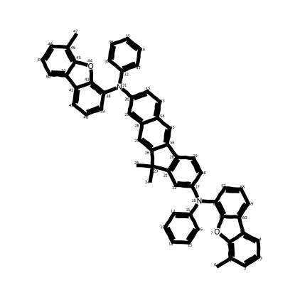 Cc1cccc2c1oc1c(N(c3ccccc3)c3ccc4c(c3)C(C)(C)c3cc5cc(N(c6ccccc6)c6cccc7c6oc6c(C)cccc67)ccc5cc3-4)cccc12